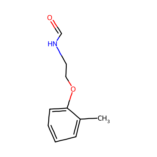 Cc1ccccc1OCCNC=O